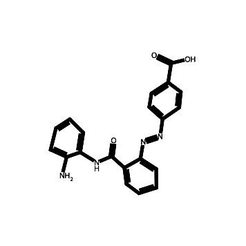 Nc1ccccc1NC(=O)c1ccccc1/N=N/c1ccc(C(=O)O)cc1